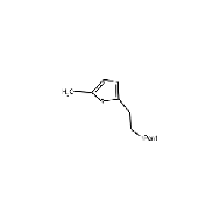 CCCCCCCc1ccc(C)s1